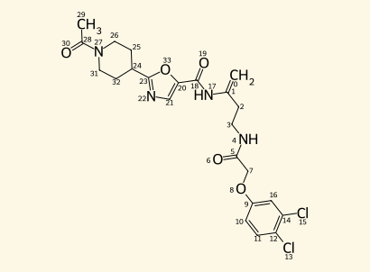 C=C(CCNC(=O)COc1ccc(Cl)c(Cl)c1)NC(=O)c1cnc(C2CCN(C(C)=O)CC2)o1